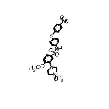 COc1ccc(S(=O)(=O)Nc2ccc(Sc3ccc([N+](=O)[O-])cc3)cc2)cc1N1CCN(C)CC1